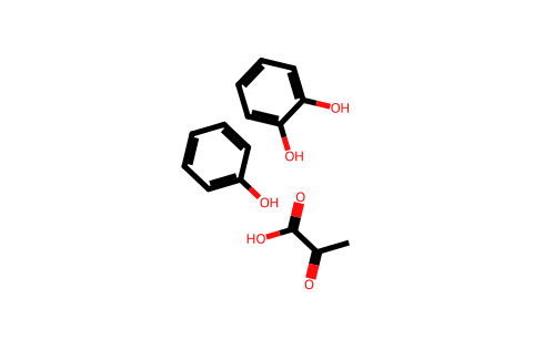 CC(=O)C(=O)O.Oc1ccccc1.Oc1ccccc1O